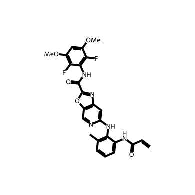 C=CC(=O)Nc1cccc(C)c1Nc1cc2nc(C(=O)Nc3c(F)c(OC)cc(OC)c3F)oc2cn1